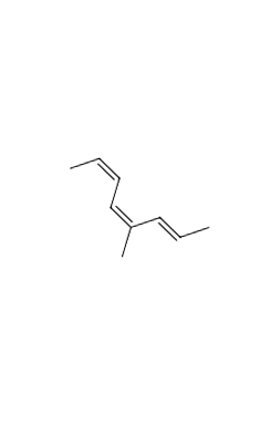 C\C=C/C=C(C)\C=C\C